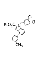 CCOC(=O)c1cc2c(-c3cccc(C)c3)cccc2n1Cc1ccc(Cl)c(Cl)c1